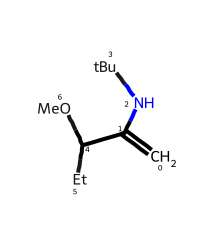 C=C(NC(C)(C)C)C(CC)OC